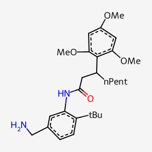 CCCCCC(CC(=O)Nc1cc(CN)ccc1C(C)(C)C)c1c(OC)cc(OC)cc1OC